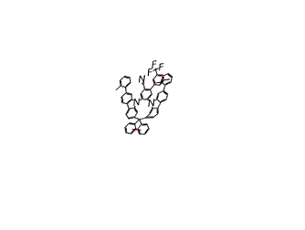 Cc1cc(-c2cc3c(cc2C#N)-n2c4cc(-c5ccccc5C)ccc4c4ccc(cc42)C(c2ccccc2C)(c2ccccc2C)c2ccc4c5ccc(-c6ccccc6C)cc5n-3c4c2)cc(C(F)(F)F)c1